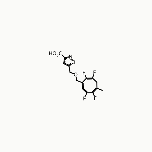 C/C1=C(\F)C(F)=C=C(COCc2cc(C(=O)O)no2)/C(F)=C(/F)C1